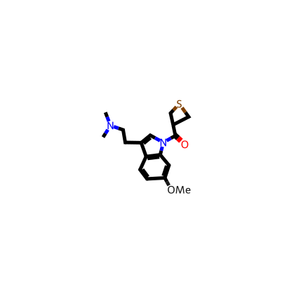 COc1ccc2c(CCN(C)C)cn(C(=O)C3CSC3)c2c1